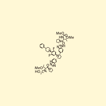 COC(=O)N[C@H](C(=O)N1CCC[C@H]1c1nc2cc([C@H]3CC[C@H](c4ccc5[nH]c([C@@H]6CCCN6C(=O)[C@H]([C@@H](C)OC)N(C)C(=O)O)nc5c4)N3c3cc(F)c(N4CCC(c5ccccc5)CC4)c(F)c3)ccc2[nH]1)[C@@H](C)OC